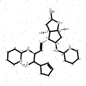 CC(C1C=CCC1)[C@H](/C=C/[C@@H]1[C@H]2CC(O)O[C@H]2C[C@H]1OC1CCCCO1)OC1CCCCO1